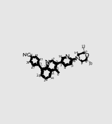 Cc1c(-c2ccc(N3C[C@@H](C)O[C@@H](C)C3)nc2)cnc2c(-c3ccc(C#N)cc3)cccc12